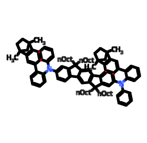 CCCCCCCCC1(CCCCCCCC)c2cc(N(c3ccccc3)c3ccccc3-c3ccc4c(c3)C3(C)CCC4(C)C3)ccc2-c2cc3c(cc21)-c1ccc(N(c2ccccc2)c2ccccc2-c2ccc4c(c2)C2(C)CCC4(C)C2)cc1C3(CCCCCCCC)CCCCCCCC